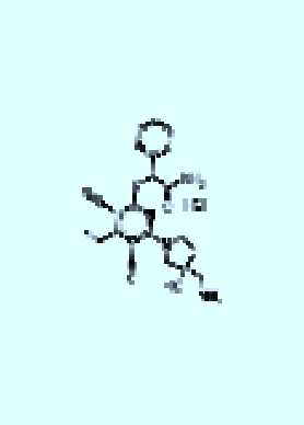 CCc1c(C#N)c(SC(C(N)=O)c2ccccc2)nc(N2CCC(O)(CN)C2)c1C#N.Cl